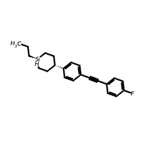 CCC[Si@H]1CC[C@H](c2ccc(C#Cc3ccc(F)cc3)cc2)CC1